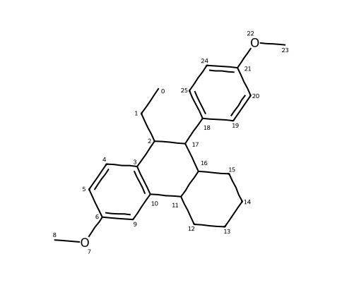 CCC1c2ccc(OC)cc2C2CCCCC2C1c1ccc(OC)cc1